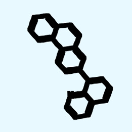 c1cnc2c(-c3ccc4c(ccc5ccccc54)c3)cccc2c1